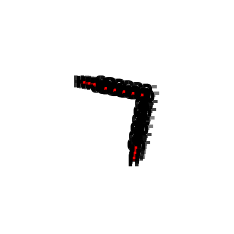 [CsH].[H+].[H+].[H+].[H+].[H+].[H+].[H+].[H+].[H+].[H+].[H+].[H+].[O-]B([O-])[O-].[O-]B([O-])[O-].[O-]B([O-])[O-].[O-]B([O-])[O-].[O-]B([O-])[O-].[O-]B([O-])[O-].[O-]B([O-])[O-].[O-]B([O-])[O-].[O-]B([O-])[O-].[O-]B([O-])[O-].[O-]B([O-])[O-].[O-]B([O-])[O-]